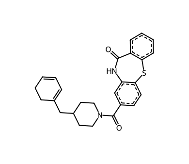 O=C1Nc2cc(C(=O)N3CCC(CC4=CC=CCC4)CC3)ccc2Sc2ccccc21